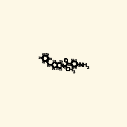 CC(C(=O)c1ccc(N)cc1)N1CC2CC(Cc3ccccc3)CC2C1